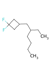 CCCCC(CC)CC1CC(F)(F)C1